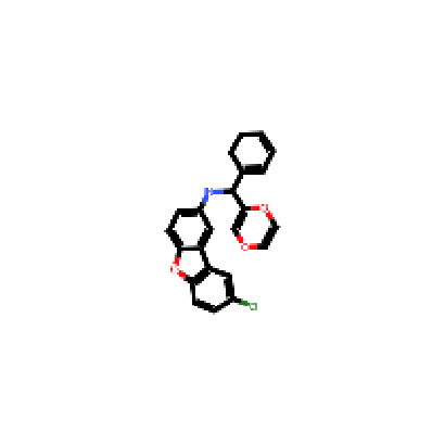 Clc1ccc2oc3ccc(NC(C4=CC=CCC4)C4=COC=CO4)cc3c2c1